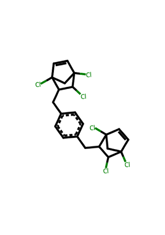 ClC1C(Cc2ccc(CC3C(Cl)C4(Cl)C=CC3(Cl)C4)cc2)C2(Cl)C=CC1(Cl)C2